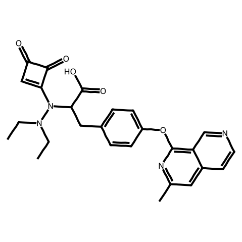 CCN(CC)N(c1cc(=O)c1=O)C(Cc1ccc(Oc2nc(C)cc3ccncc23)cc1)C(=O)O